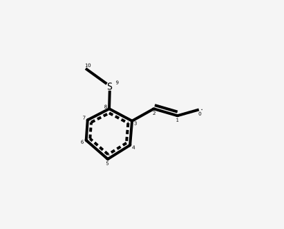 [CH2]C=Cc1ccccc1SC